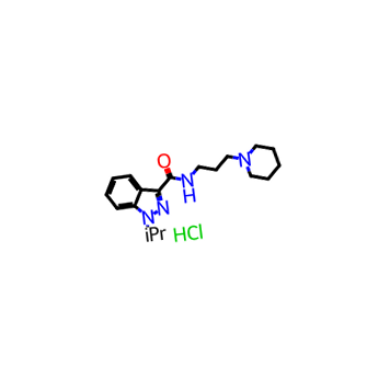 CC(C)n1nc(C(=O)NCCCN2CCCCC2)c2ccccc21.Cl